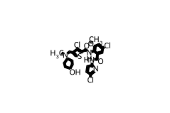 COc1cc(Cl)cc(C(=O)Nc2ccc(Cl)cn2)c1NC(=O)c1scc(CN(C)C2CCC(O)CC2)c1Cl